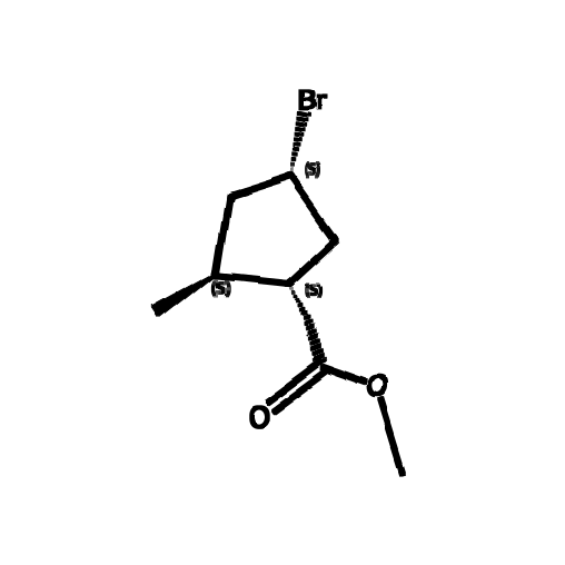 COC(=O)[C@H]1C[C@@H](Br)C[C@@H]1C